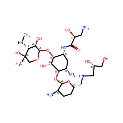 CN[C@@H]1[C@@H](O)[C@@H](O[C@@H]2[C@@H](O)[C@H](O[C@H]3O[C@H](CNC[C@H](O)CO)CC[C@H]3N)[C@@H](N)C[C@H]2NC(=O)[C@@H](O)CN)OC[C@]1(C)O